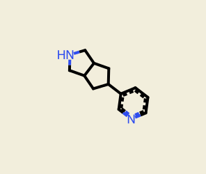 c1cncc(C2CC3CNCC3C2)c1